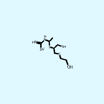 CC(NC(=N)S)SC(CS)CSCCO